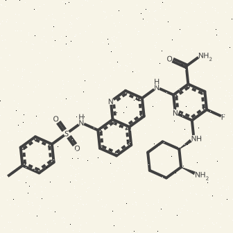 Cc1ccc(S(=O)(=O)Nc2cccc3cc(Nc4nc(N[C@@H]5CCCC[C@@H]5N)c(F)cc4C(N)=O)cnc23)cc1